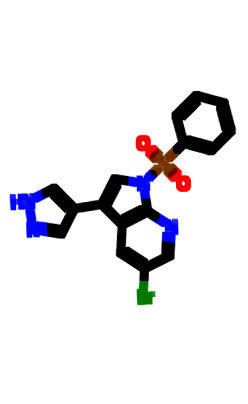 O=S(=O)(c1ccccc1)n1cc(-c2cn[nH]c2)c2cc(Br)cnc21